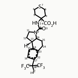 O=C(NC1(C(=O)O)CCSCC1)N1CC[C@H]2c3ccc(C(F)(C(F)(F)F)C(F)(F)F)cc3CCC21